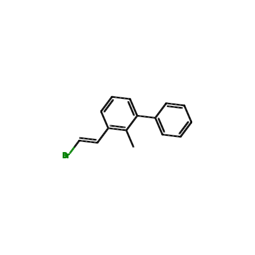 Cc1c(/C=C/Br)cccc1-c1ccccc1